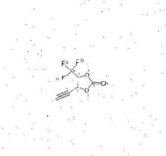 C#CC1OC(=O)OC1C(F)(F)F